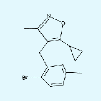 Cc1ccc(Br)c(Cc2c(C)noc2C2CC2)c1